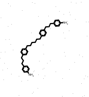 Nc1ccc(CCCc2ccc(CCCCCCc3ccc(CCCc4ccc(N)cc4)cc3)cc2)cc1